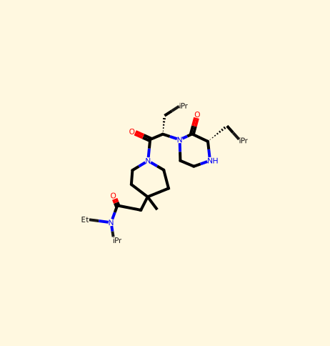 CCN(C(=O)CC1(C)CCN(C(=O)[C@H](CC(C)C)N2CCN[C@@H](CC(C)C)C2=O)CC1)C(C)C